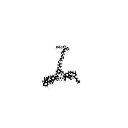 C=CCCC[C@H]1CC[C@H]2C=NC3CC(OCC4=C[C@@H](CSCCOCCOCCOCCC(=O)OC)C[C@@H](COC5=C(OC)C[C@@H]6C(=O)N7[C@H](CN[C@@H]6C5)C[C@H]5CCCC[C@H]57)C4)=C(OC)C[C@H]3C(=O)N12